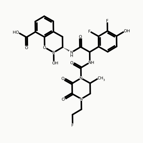 CC1CN(CCF)C(=O)C(=O)N1C(=O)NC(C(=O)N[C@H]1Cc2cccc(C(=O)O)c2OB1O)c1ccc(O)c(F)c1F